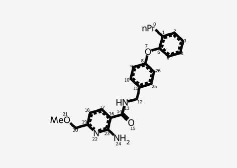 CCCc1ccccc1Oc1ccc(CNC(=O)c2ccc(COC)nc2N)cc1